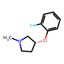 CN1CC[C@@H](Oc2ccccc2F)C1